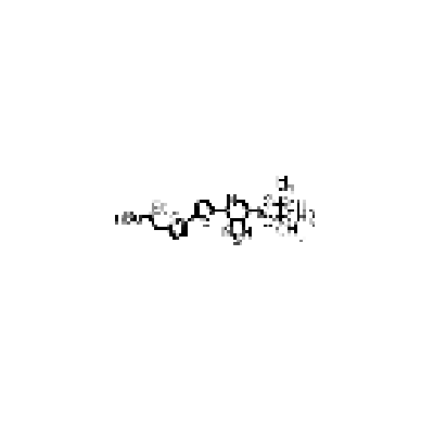 CCCCC(CC)Cc1ccc(-c2ccc(-c3ncc(B4OC(C)(C)C(C)(C)O4)c4nsnc34)s2)s1